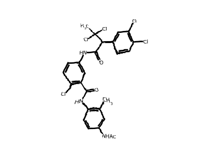 CC(=O)Nc1ccc(NC(=O)c2cc(NC(=O)C(c3ccc(Cl)c(Cl)c3)C(C)(Cl)Cl)ccc2Cl)c(C)c1